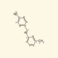 Cc1cccc(N=Cc2ccc(C#N)cc2)c1